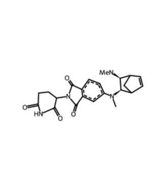 CN[C@H]1C2C=CC(C2)[C@H]1N(C)c1ccc2c(c1)C(=O)N(C1CCC(=O)NC1=O)C2=O